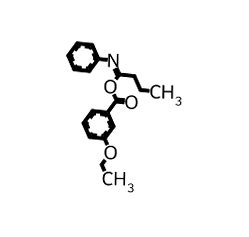 CCCC(=Nc1ccccc1)OC(=O)c1cccc(OCC)c1